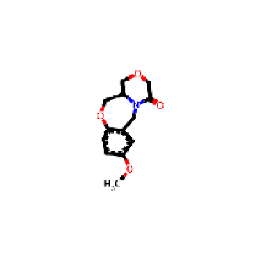 COc1ccc2c(c1)CN1C(=O)COCC1CO2